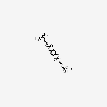 CC(C)CCCOC(=O)OC1CCC(OC(=O)OCCCC(C)C)CC1